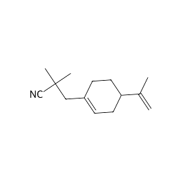 C=C(C)C1CC=C(CC(C)(C)C#N)CC1